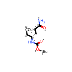 CC(C)(C)OC(=O)N[C@@H](CCC(N)=O)CC(=O)O